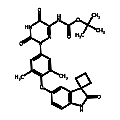 Cc1cc(-n2nc(NC(=O)OC(C)(C)C)c(=O)[nH]c2=O)cc(C)c1Oc1ccc2c(c1)C1(CCC1)C(=O)N2